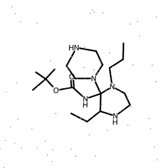 CCCN1CCNC(CC)C1(NC(=O)OC(C)(C)C)N1CCNCC1